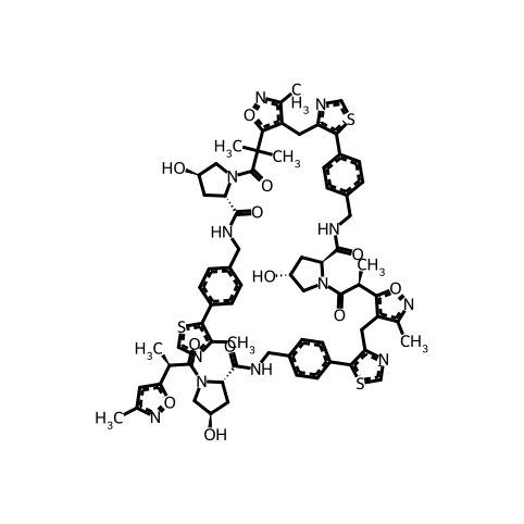 Cc1cc([C@@H](C)C(=O)N2C[C@H](O)C[C@H]2C(=O)NCc2ccc(-c3scnc3Cc3c(C)noc3[C@H](C)C(=O)N3C[C@H](O)C[C@H]3C(=O)NCc3ccc(-c4scnc4Cc4c(C)noc4C(C)(C)C(=O)N4C[C@H](O)C[C@H]4C(=O)NCc4ccc(-c5scnc5C)cc4)cc3)cc2)on1